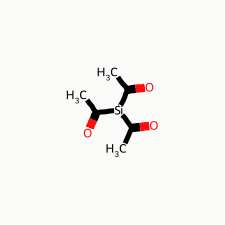 CC(=O)[Si](C(C)=O)C(C)=O